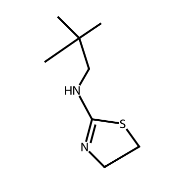 CC(C)(C)CNC1=NCCS1